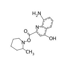 CC1CCCCN1OC(=O)c1cc(O)c2cccc(N)c2n1